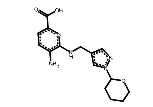 Nc1ccc(C(=O)O)nc1NCc1cnn(C2CCCCO2)c1